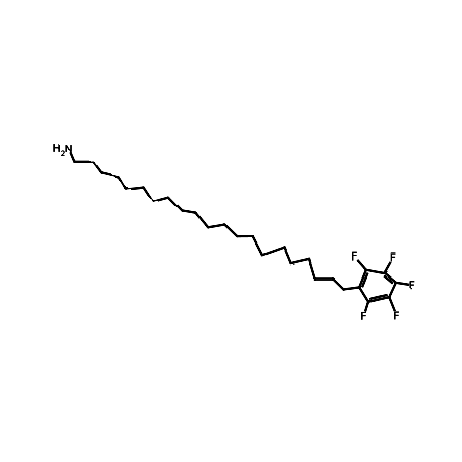 NCCCCCCCCCCCCCCCCCCCCCc1c(F)c(F)c(F)c(F)c1F